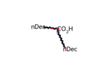 CCCCCCCCCCCCCCCCC/C=C(\C=C\CCCCCCCCCCCCCCCCCCCC)C(=O)O